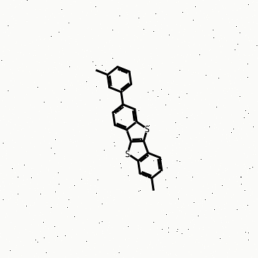 Cc1cccc(-c2ccc3c(c2)sc2c4ccc(C)cc4sc32)c1